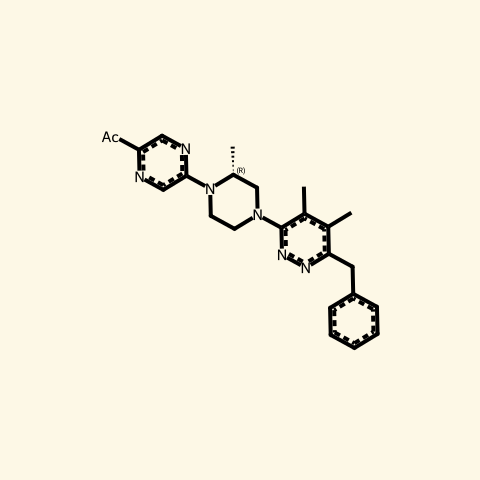 CC(=O)c1cnc(N2CCN(c3nnc(Cc4ccccc4)c(C)c3C)C[C@H]2C)cn1